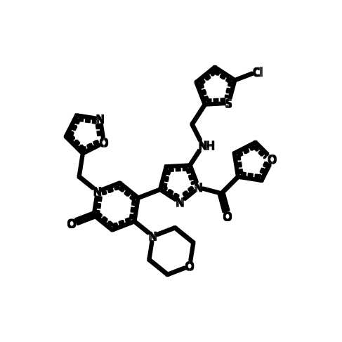 O=C(c1ccoc1)n1nc(-c2cn(Cc3ccno3)c(=O)cc2N2CCOCC2)cc1NCc1ccc(Cl)s1